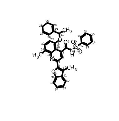 Cc1c(-c2cc(C(=O)NS(=O)(=O)c3ccccc3)c3c(OC(C)C4=CCCC=C4)ccc(C)c3n2)oc2ccccc12